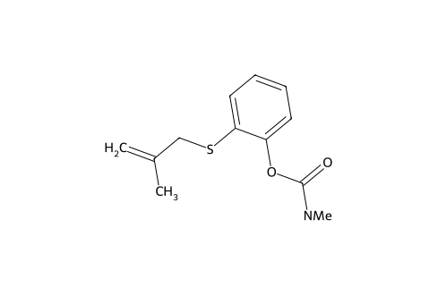 C=C(C)CSc1ccccc1OC(=O)NC